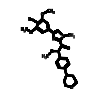 COc1cc(-c2cn(C)c(C(=O)C(OC)c3ccc(N4CCOCC4)cc3)n2)cc(OC)c1Br